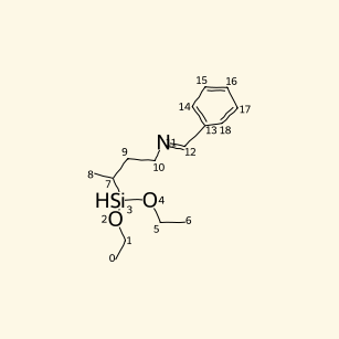 CCO[SiH](OCC)C(C)CCN=Cc1ccccc1